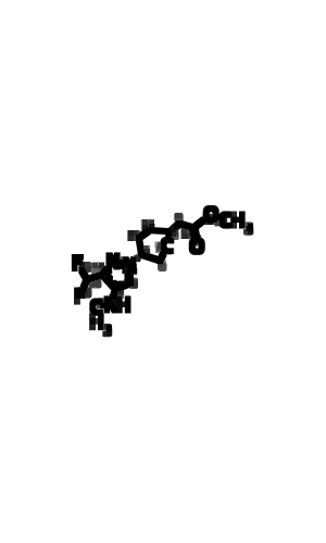 CNc1cn([C@H]2CC[C@H](CC(=O)OC)CC2)nc1C(F)F